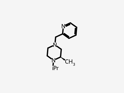 CC(C)N1CCN(Cc2ccccn2)C[C@H]1C